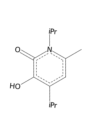 Cc1cc(C(C)C)c(O)c(=O)n1C(C)C